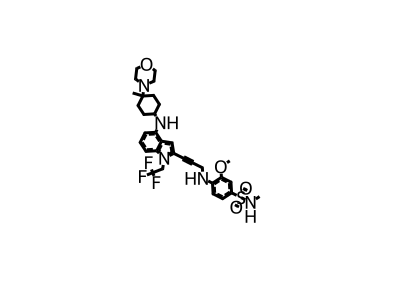 CNS(=O)(=O)c1ccc(NCC#Cc2cc3c(NC4CCC(C)(N5CCOCC5)CC4)cccc3n2CC(F)(F)F)c(OC)c1